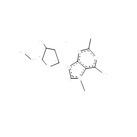 Cc1nc(O)c2c(n1)n([C@@H]1O[C@H](CO)C(O)[C@@H]1O)c[n+]2C